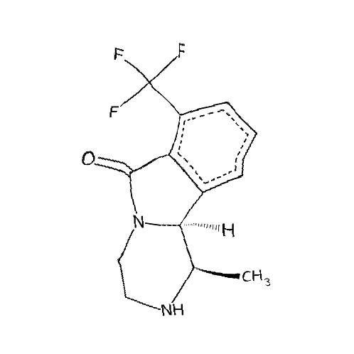 C[C@H]1NCCN2C(=O)c3c(cccc3C(F)(F)F)[C@@H]12